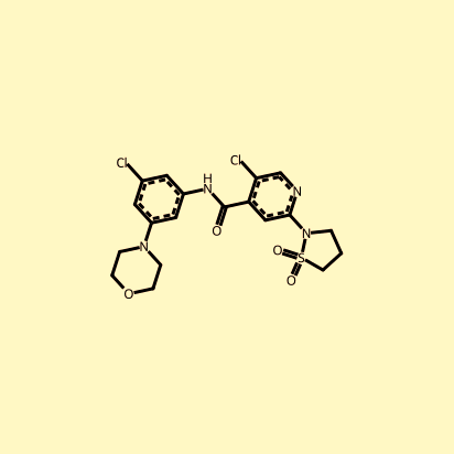 O=C(Nc1cc(Cl)cc(N2CCOCC2)c1)c1cc(N2CCCS2(=O)=O)ncc1Cl